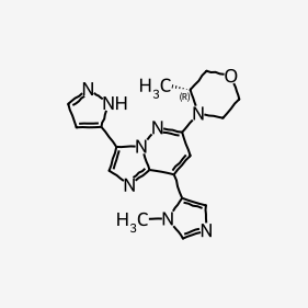 C[C@@H]1COCCN1c1cc(-c2cncn2C)c2ncc(-c3ccn[nH]3)n2n1